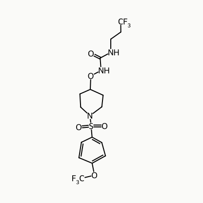 O=C(NCCC(F)(F)F)NOC1CCN(S(=O)(=O)c2ccc(OC(F)(F)F)cc2)CC1